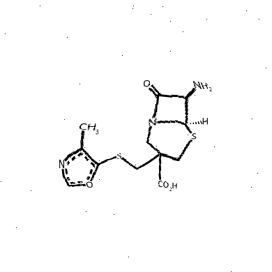 Cc1ncoc1SCC1(C(=O)O)CS[C@@H]2C(N)C(=O)N2C1